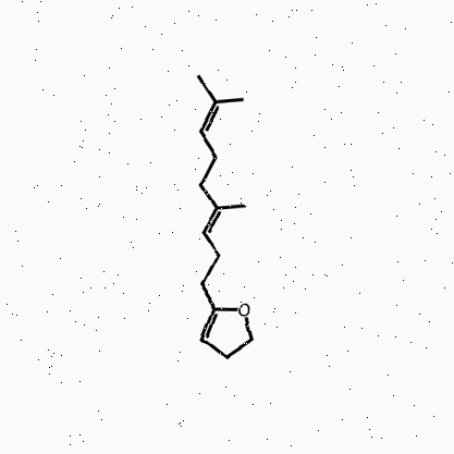 CC(C)=CCC/C(C)=C/CCC1=CCCO1